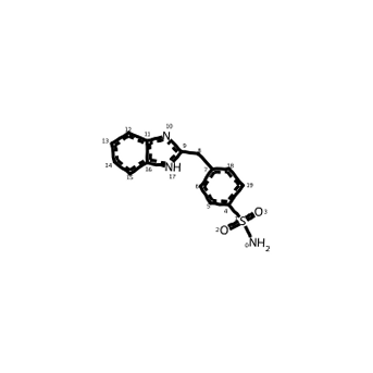 NS(=O)(=O)c1ccc(Cc2nc3ccccc3[nH]2)cc1